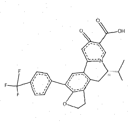 CC(C)[C@@H]1Cc2c(cc(-c3ccc(C(F)(F)F)cc3)c3c2CCO3)-c2cc(=O)c(C(=O)O)cn21